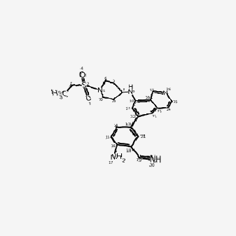 CCS(=O)(=O)N1CCC(Nc2cc(-c3ccc(N)c(C=N)c3)cc3ccncc23)CC1